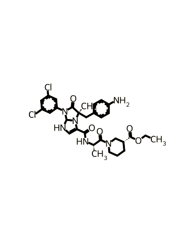 CCOC(=O)[C@@H]1CCCN(C(=O)[C@H](C)NC(=O)C2=CNC3N(c4cc(Cl)cc(Cl)c4)C(=O)[C@@](C)(Cc4ccc(N)cc4)N23)C1